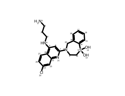 NCCCNc1cc(N2CCS(O)(O)c3ccccc3C2)nc2cc(Cl)ccc12